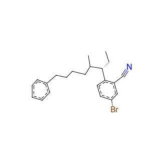 CC[C@H](c1ccc(Br)cc1C#N)C(C)CCCCc1ccccc1